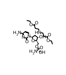 CCOC(=O)CCNCCC(=O)OCC.Nc1ccn([C@H]2C[C@H](O)[C@@H](COP(N)(=O)O)O2)c(=O)n1